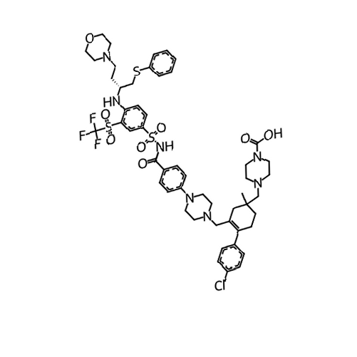 CC1(CN2CCN(C(=O)O)CC2)CCC(c2ccc(Cl)cc2)=C(CN2CCN(c3ccc(C(=O)NS(=O)(=O)c4ccc(N[C@H](CCN5CCOCC5)CSc5ccccc5)c(S(=O)(=O)C(F)(F)F)c4)cc3)CC2)C1